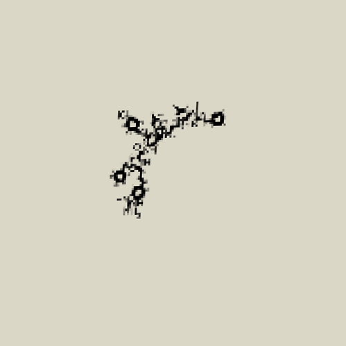 CC(C)C[C@H](NC(=O)OCc1ccccc1)C(=O)NCCCN(CCCCNC(=O)[C@H](COCc1ccccc1)NC(=O)CCCc1ccc(NC(=N)N)cc1)C(=O)[C@H](CC(C)C)NC(=O)OCc1ccccc1.Cl